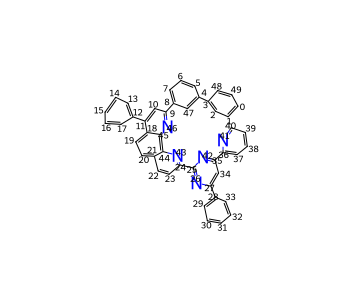 c1ccc(-c2cccc(-c3cc(-c4ccccc4)c4ccc5ccc(-c6nc(-c7ccccc7)cc(-c7ccccn7)n6)nc5c4n3)c2)cc1